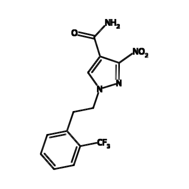 NC(=O)c1cn(CCc2ccccc2C(F)(F)F)nc1[N+](=O)[O-]